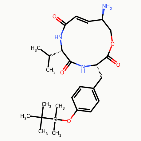 CC(C)[C@@H]1NC(=O)/C=C/[C@@H](N)COC(=O)[C@H](Cc2ccc(O[Si](C)(C)C(C)(C)C)cc2)NC1=O